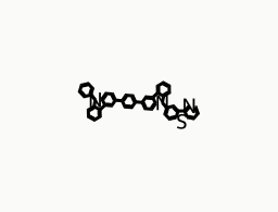 c1ccc(-n2c3ccccc3c3cc(-c4ccc(-c5ccc6c(c5)c5ccccc5n6-c5ccc6sc7cccnc7c6c5)cc4)ccc32)cc1